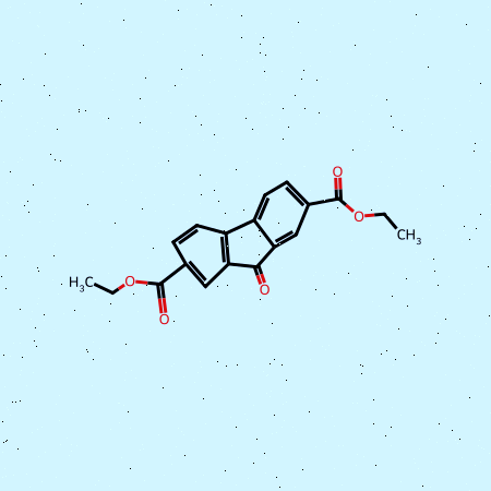 CCOC(=O)c1ccc2c(c1)C(=O)c1cc(C(=O)OCC)ccc1-2